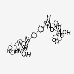 C[C@@H]1C[C@@H]([C@H](NC(=O)O)C(=O)N2[C@@H](C)CC[C@H]2c2nc(-c3ccc(-c4ccc(-c5c[nH]c([C@@H]6CC[C@H](C)N6C(=O)[C@@H](NC(=O)O)[C@@H]6C[C@@H](C)O[C@H]7CCC[C@@H]67)n5)cc4)cc3)c[nH]2)[C@@H]2CCC[C@@H]2O1